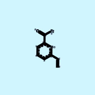 C=Cc1cccc(C(=O)CC)n1